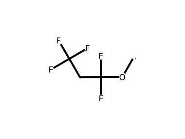 [CH2]OC(F)(F)CC(F)(F)F